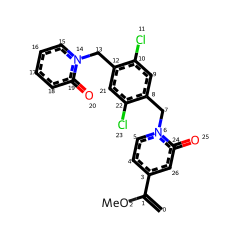 C=C(OC)c1ccn(Cc2cc(Cl)c(Cn3ccccc3=O)cc2Cl)c(=O)c1